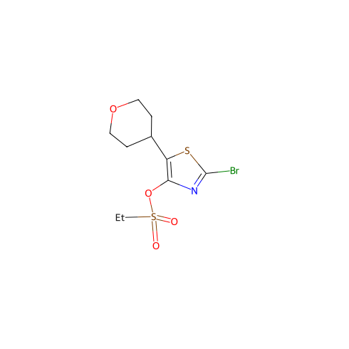 CCS(=O)(=O)Oc1nc(Br)sc1C1CCOCC1